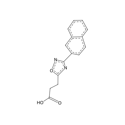 O=C(O)CCc1nc(-c2ccc3ccccc3c2)no1